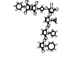 O=C1C=CC(=O)N1.O=C1C=CC(=O)N1C1CC1.O=C1C=CC(=O)N1C1CCC1.O=C1C=CC(=O)N1C1CCCC1.O=C1C=CC(=O)N1C1CCCCC1.O=C1C=CC(=O)N1C1CCCCCC1